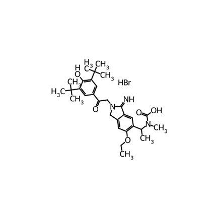 Br.CCOc1cc2c(cc1C(C)N(C)C(=O)O)C(=N)N(CC(=O)c1cc(C(C)(C)C)c(O)c(C(C)(C)C)c1)C2